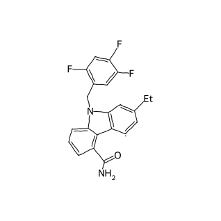 CCc1c[c]c2c3c(C(N)=O)cccc3n(Cc3cc(F)c(F)cc3F)c2c1